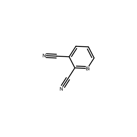 N#CC1=CC=[CH][Bi]=[C]1C#N